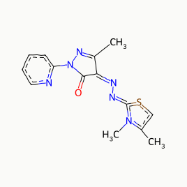 CC1=NN(c2ccccn2)C(=O)C1=NN=c1scc(C)n1C